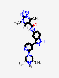 CCN1[C@H](C)CN(c2cc(-c3n[nH]c4ccc(NC(=O)C5=C(C)N(C)c6nnnn6C5C)cc34)ccn2)C[C@@H]1C